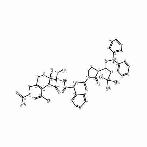 CS[C@@]1(NC(=O)C(NC(=O)N2CCN(C(CC(C)(C)C)O[SiH](c3ccccc3)c3ccccc3)C2=O)c2ccccc2)C(=O)N2C(C(=O)O)=C(COC(C)=O)CS[C@@H]21